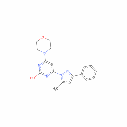 Cc1cc(-c2ccccc2)nn1-c1cc(N2CCOCC2)nc(O)n1